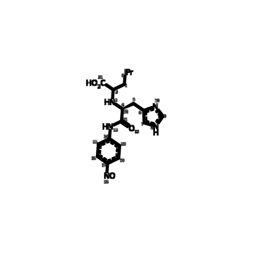 CC(C)CC(N[C@@H](Cc1c[nH]cn1)C(=O)Nc1ccc(N=O)cc1)C(=O)O